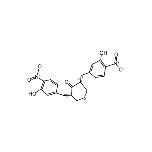 O=C1/C(=C/c2ccc([N+](=O)[O-])c(O)c2)CSC/C1=C/c1ccc([N+](=O)[O-])c(O)c1